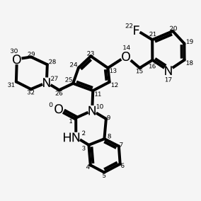 O=C1Nc2ccccc2CN1c1cc(OCc2ncccc2F)ccc1CN1CCOCC1